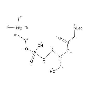 CCCCCCCCCCCC(=O)O[C@H](CO)COP(=O)(O)OCC[N+](C)(C)C